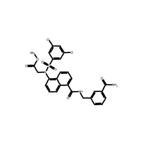 CC(C)(C)OC(=O)CN(c1cccc2c(C(=O)NCc3cccc(C(N)=O)c3)cccc12)S(=O)(=O)c1cc(Cl)cc(Cl)c1